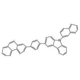 c1ccc2cc(-n3c4ccccc4c4cc(-c5ccc(-c6ccc7c(ccc8ccccc87)c6)cc5)ccc43)ccc2c1